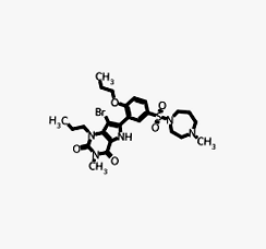 CCCOc1ccc(S(=O)(=O)N2CCCN(C)CC2)cc1-c1[nH]c2c(=O)n(C)c(=O)n(CCC)c2c1Br